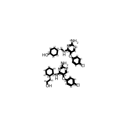 Nc1ncc(Oc2ccc(Cl)cc2)c(NC[C@H]2CC[C@H](O)CC2)n1.Nc1ncc(Oc2ccc(Cl)cc2)c(N[C@@H]2CCCC[C@@H]2CCO)n1